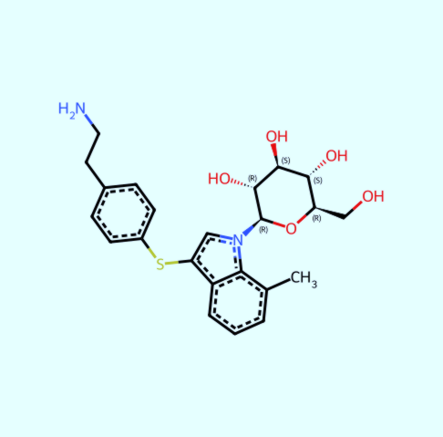 Cc1cccc2c(Sc3ccc(CCN)cc3)cn([C@@H]3O[C@H](CO)[C@@H](O)[C@H](O)[C@H]3O)c12